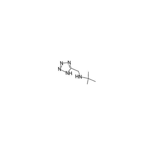 CC(C)(C)NCc1nnn[nH]1